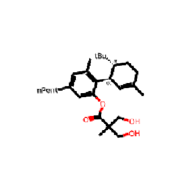 CCCCCc1cc(C)c([C@@H]2C=C(C)CC[C@H]2C(C)(C)C)c(OC(=O)C(C)(CO)CO)c1